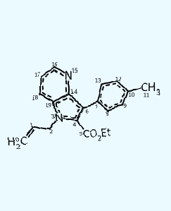 C=CCn1c(C(=O)OCC)c(-c2ccc(C)cc2)c2ncccc21